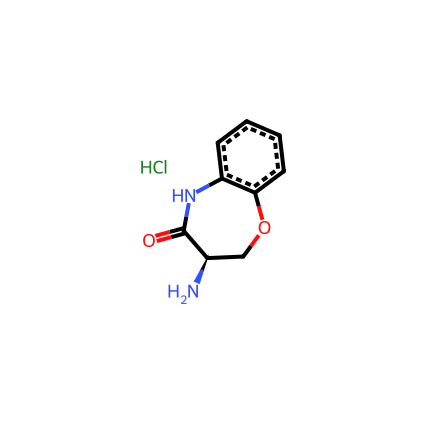 Cl.N[C@@H]1COc2ccccc2NC1=O